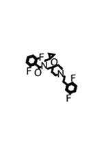 O=C(c1c(F)cccc1F)N1CC2(CCN(CCc3cc(F)ccc3F)CC2)OC2(CC2)C1